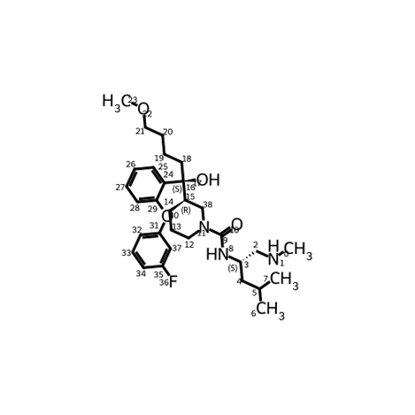 CNC[C@H](CC(C)C)NC(=O)N1CCC[C@@H]([C@@](O)(CCCCOC)c2ccccc2Oc2cccc(F)c2)C1